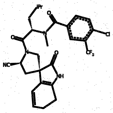 CC(C)C[C@@H](C(=O)N1C[C@]2(C[C@H]1C#N)C(=O)NC1=C2C=CCC1)N(C)C(=O)c1ccc(Cl)c(C(F)(F)F)c1